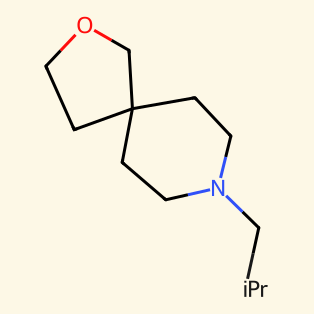 CC(C)CN1CCC2(CCOC2)CC1